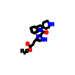 COC(=O)CCc1c[nH]c(C(=O)NC2(Cc3ccccc3)CCNCC2)n1